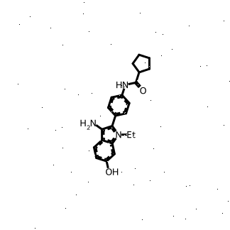 CCn1c(-c2ccc(NC(=O)C3CCCC3)cc2)c(N)c2ccc(O)cc21